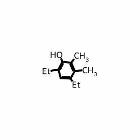 CCc1cc(CC)c(O)c(C)c1C